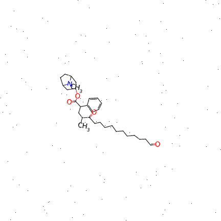 CC(CC(C(=O)OC1CC2CCC(C1)N2C)c1ccccc1)C(=O)CCCCCCCCCCC=O